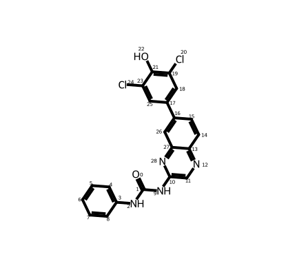 O=C(Nc1ccccc1)Nc1cnc2ccc(-c3cc(Cl)c(O)c(Cl)c3)cc2n1